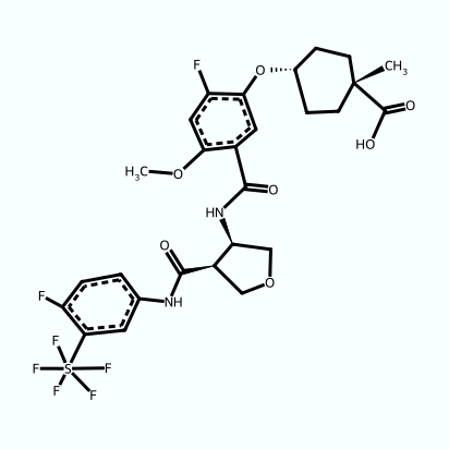 COc1cc(F)c(O[C@H]2CC[C@@](C)(C(=O)O)CC2)cc1C(=O)N[C@H]1COC[C@H]1C(=O)Nc1ccc(F)c(S(F)(F)(F)(F)F)c1